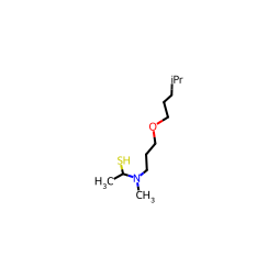 CC(C)CCCOCCCN(C)C(C)S